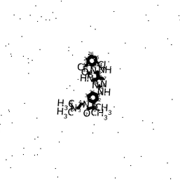 CN(C)CCN1C(=O)C(C)(C)c2cc(Nc3ncc4c(=N)n(-c5c(Cl)cccc5Cl)c(=O)[nH]c4n3)ccc21